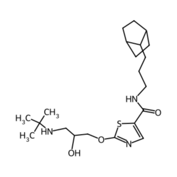 CC(C)(C)NCC(O)COc1ncc(C(=O)NCCCC2C3CCC2CC3)s1